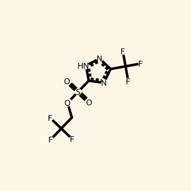 O=S(=O)(OCC(F)(F)F)c1nc(C(F)(F)F)n[nH]1